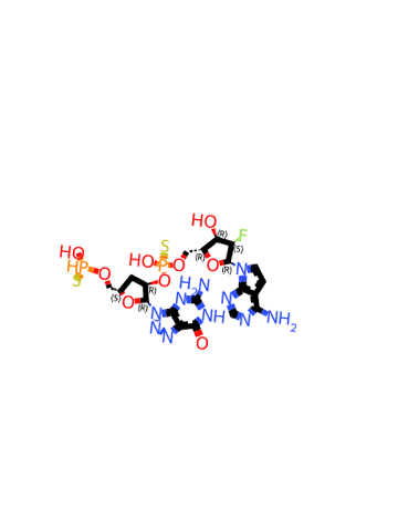 Nc1nc2c(nnn2[C@@H]2O[C@H](CO[PH](O)=S)C[C@H]2OP(O)(=S)OC[C@H]2O[C@@H](n3ccc4c(N)ncnc43)[C@@H](F)[C@@H]2O)c(=O)[nH]1